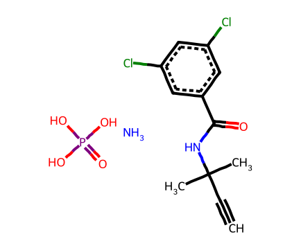 C#CC(C)(C)NC(=O)c1cc(Cl)cc(Cl)c1.N.O=P(O)(O)O